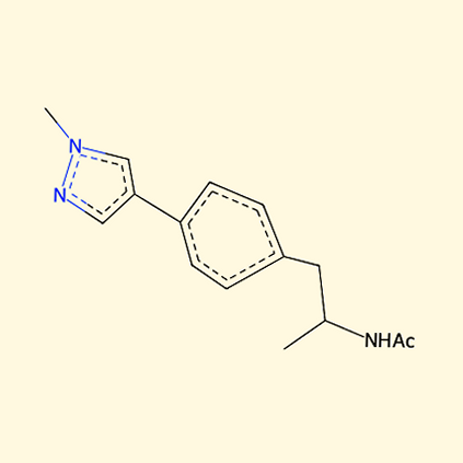 CC(=O)NC(C)Cc1ccc(-c2cnn(C)c2)cc1